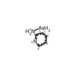 N[AsH2].c1ccncc1